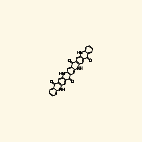 O=c1c2ccccc2[nH]c2cc3c(=O)c4cc5[nH]c6cc7c(=O)c8ccccc8[nH]c7cc6c(=O)c5cc4[nH]c3cc12